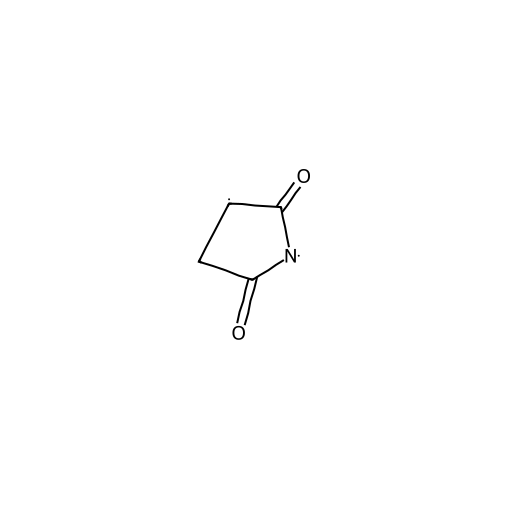 O=C1[CH]CC(=O)[N]1